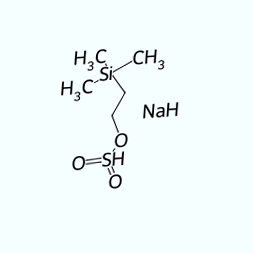 C[Si](C)(C)CCO[SH](=O)=O.[NaH]